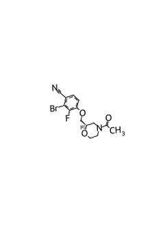 CC(=O)N1CCO[C@@H](COc2ccc(C#N)c(Br)c2F)C1